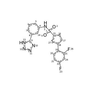 O=S(=O)(Nc1cccc(-c2nnn[nH]2)c1)c1ccc(-c2ccc(F)cc2F)s1